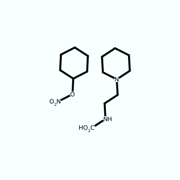 O=C(O)NCCN1CCCCC1.O=[N+]([O-])OC1CCCCC1